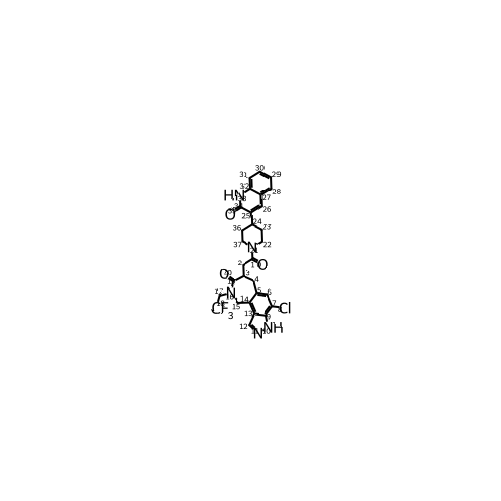 O=C(CC1Cc2cc(Cl)c3[nH]ncc3c2CN(CC(F)(F)F)C1=O)N1CCC(c2cc3ccccc3[nH]c2=O)CC1